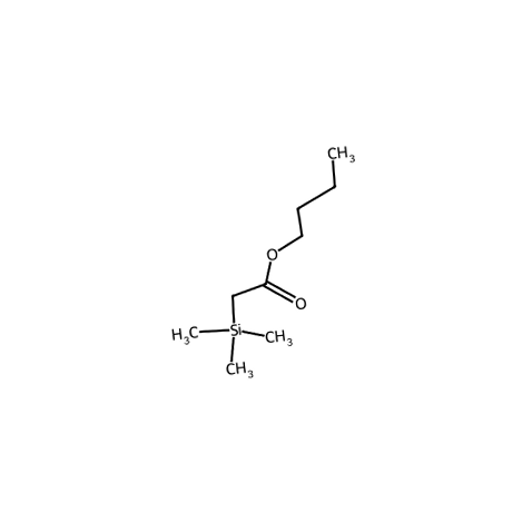 CCCCOC(=O)C[Si](C)(C)C